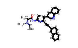 CC(C(=O)Nc1ccc(-c2cnc3ccccc3c2)c(C#Cc2ccc3ccccc3c2)n1)N(CC(C)(C)C)C(=O)O